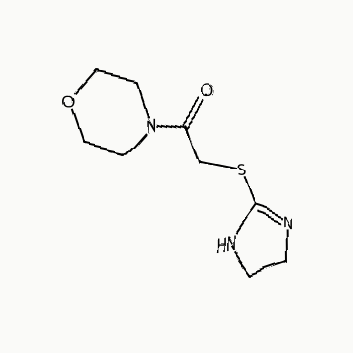 O=C(CSC1=NCCN1)N1CCOCC1